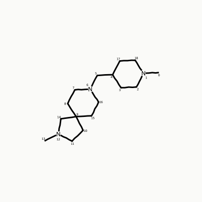 CN1CCC(CN2CCC3(CCN(C)C3)CC2)CC1